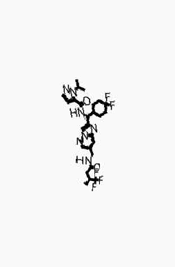 CC(C)n1nccc1C(=O)N[C@H](c1cn2ncc(CNC(=O)CC(C)C(F)(F)F)cc2n1)C1CCC(F)(F)CC1